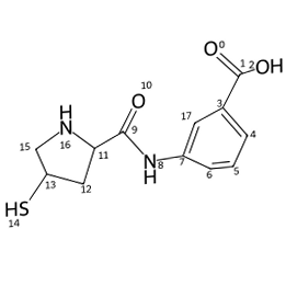 O=C(O)c1cccc(NC(=O)C2CC(S)CN2)c1